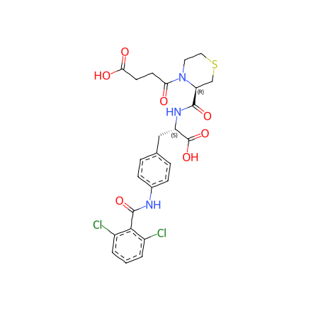 O=C(O)CCC(=O)N1CCSC[C@H]1C(=O)N[C@@H](Cc1ccc(NC(=O)c2c(Cl)cccc2Cl)cc1)C(=O)O